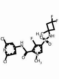 Cn1cc(S(=O)(=O)NC2(C)CC(F)(F)C2)c(F)c1C(=O)Nc1cc(Cl)nc(Cl)c1